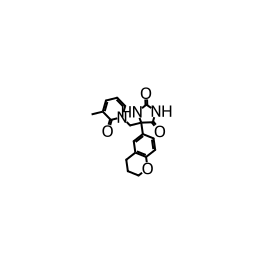 Cc1cccn(CC2(c3ccc4c(c3)CCCO4)NC(=O)NC2=O)c1=O